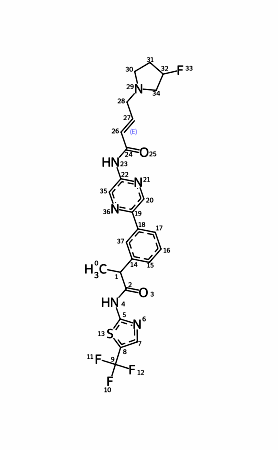 CC(C(=O)Nc1ncc(C(F)(F)F)s1)c1cccc(-c2cnc(NC(=O)/C=C/CN3CCC(F)C3)cn2)c1